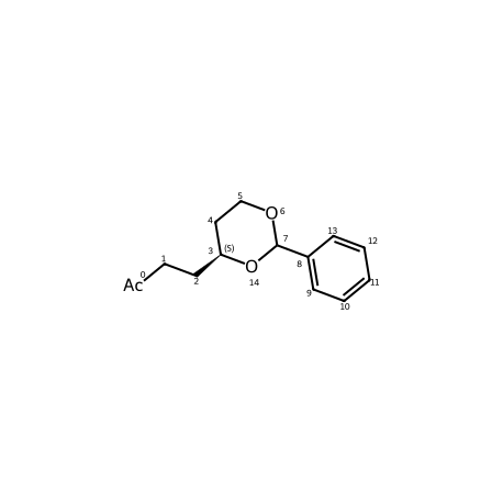 CC(=O)CC[C@H]1CCOC(c2ccccc2)O1